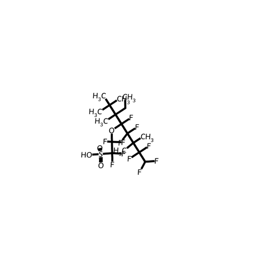 CCC(C)(C(C)(C)C)C(F)(OC(F)(F)C(F)(F)S(=O)(=O)O)C(F)(F)C(C)(C)C(F)(F)C(F)F